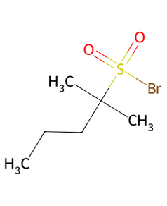 CCCC(C)(C)S(=O)(=O)Br